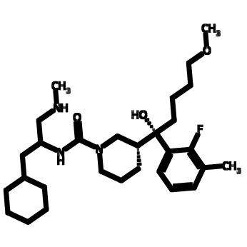 CNCC(CC1CCCCC1)NC(=O)N1CCC[C@@H]([C@@](O)(CCCCOC)c2cccc(C)c2F)C1